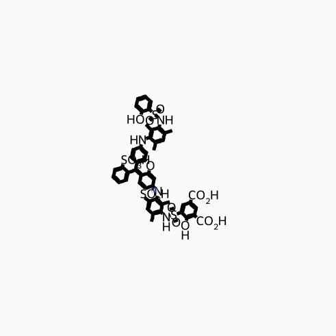 Cc1cc(C)c(NS(=O)(=O)c2cc(C(=O)O)cc(C(=O)O)c2O)c(C)c1/N=c1/cc2oc3cc(Nc4c(C)cc(C)c(NS(=O)(=O)c5ccccc5O)c4C)ccc3c(-c3ccccc3S(=O)(=O)O)c-2cc1S(=O)(=O)O